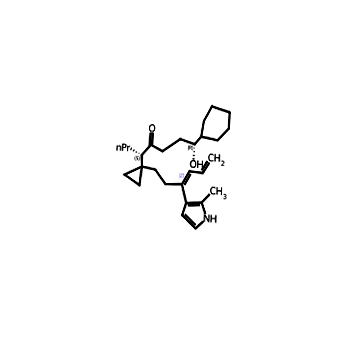 C=C/C=C(/CCC1([C@H](CCC)C(=O)CC[C@@H](O)C2CCCCC2)CC1)c1cc[nH]c1C